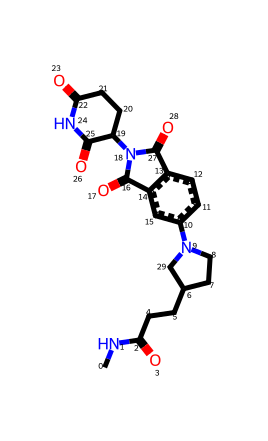 CNC(=O)CCC1CCN(c2ccc3c(c2)C(=O)N(C2CCC(=O)NC2=O)C3=O)C1